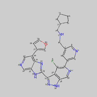 Fc1c(-c2cncc(CNCC3CCCC3)c2)ncc2[nH]nc(-c3nc4c(-c5ccoc5)cncc4[nH]3)c12